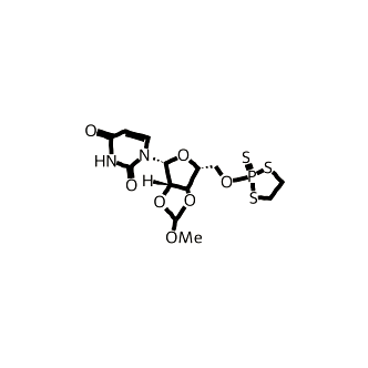 COC1OC2[C@@H](COP3(=S)SCCS3)O[C@@H](n3ccc(=O)[nH]c3=O)[C@H]2O1